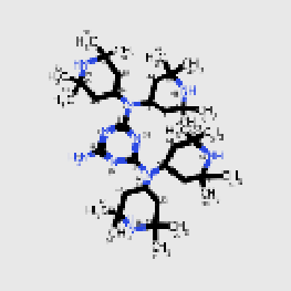 CC1(C)CC(N(c2nc(N)nc(N(C3CC(C)(C)NC(C)(C)C3)C3CC(C)(C)NC(C)(C)C3)n2)C2CC(C)(C)NC(C)(C)C2)CC(C)(C)N1